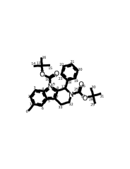 Cc1ccc2c(c1)c1c(n2C(=O)OC(C)(C)C)C(c2ccccc2)N(C(=O)OC(C)(C)C)CC1